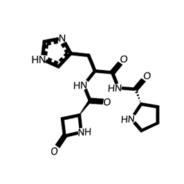 O=C1C[C@@H](C(=O)NC(Cc2c[nH]cn2)C(=O)NC(=O)[C@@H]2CCCN2)N1